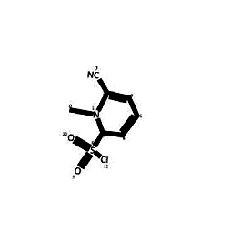 CN1C(C#N)=CC=CC1S(=O)(=O)Cl